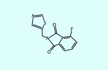 O=C1c2cccc(F)c2C(=O)N1Cc1cncs1